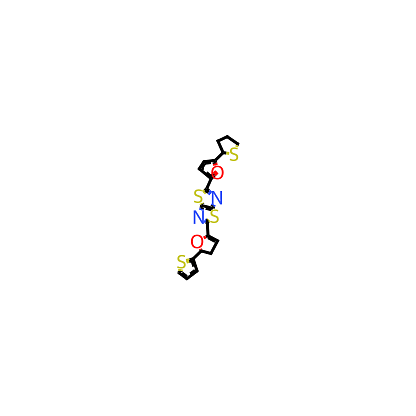 C1=C(c2nc3sc(-c4ccc(C5CCCS5)o4)nc3s2)OC(c2cccs2)C1